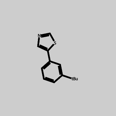 CC(C)(C)c1cccc(-c2cncs2)c1